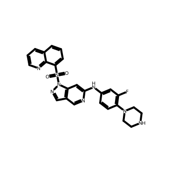 O=S(=O)(c1cccc2cccnc12)n1ncc2cnc(Nc3ccc(N4CCNCC4)c(F)c3)cc21